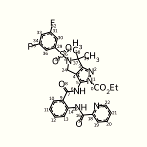 CCOC(=O)n1nc2c(c1NC(=O)c1ccccc1NC(=O)c1ccccn1)CN(S(=O)(=O)c1cc(F)cc(F)c1)C2(C)C